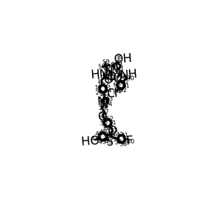 C[C@H](NC(=O)[C@@H]1C[C@@H](O)CN1C(=O)C(NC(=O)Cc1ccc(-c2ccn(CCOc3ccc(Oc4c(-c5ccc(F)cc5)sc5cc(O)ccc45)cc3)n2)cc1)C(C)(C)C)c1ccc(Cl)cc1